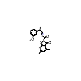 COc1cccc(C(C)/C=N/C(=O)n2sc3nc(C)cc(C)c3c2=O)c1